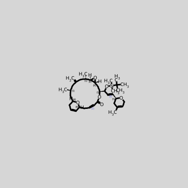 C=C1C[C@H](C)C[C@@H]2CC=C[C@@H](C/C=C\C(=O)O[C@H](C(/C=C/[C@@H]3CC(C)=CCO3)O[Si](C)(C)C(C)(C)C)C[C@H]3O[C@@H]3[C@@H](C)C1)O2